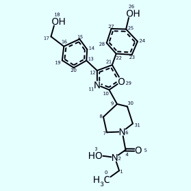 CCN(O)C(=O)N1CCC(c2nc(-c3ccc(CO)cc3)c(-c3ccc(O)cc3)o2)CC1